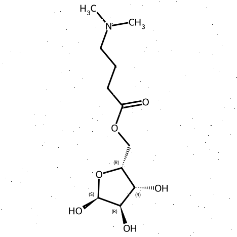 CN(C)CCCC(=O)OC[C@H]1O[C@H](O)[C@H](O)[C@H]1O